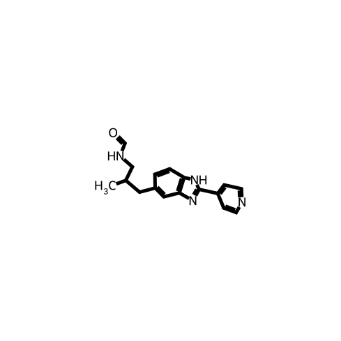 CC(CNC=O)Cc1ccc2[nH]c(-c3ccncc3)nc2c1